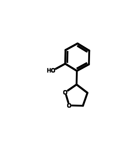 Oc1ccccc1C1CCOO1